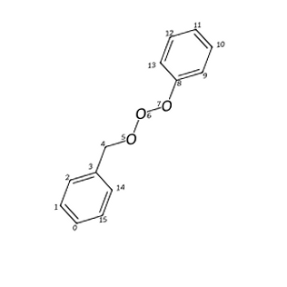 c1ccc(COOOc2ccccc2)cc1